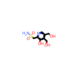 NS(=O)(=O)Cc1ncc(CO)c(CO)c1O